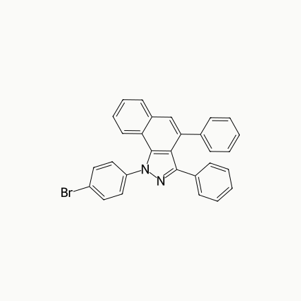 Brc1ccc(-n2nc(-c3ccccc3)c3c(-c4ccccc4)cc4ccccc4c32)cc1